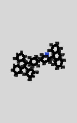 c1ccc(C(=C(c2ccccc2)c2ccc(-c3ccc(-c4c5ccccc5cc5ccccc45)nc3)cc2)c2ccccc2)cc1